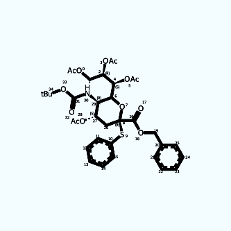 CC(=O)OC[C@@H](OC(C)=O)[C@@H](OC(C)=O)C1O[C@](Sc2ccccc2)(C(=O)OCc2ccccc2)C[C@H](OC(C)=O)[C@H]1NC(=O)OC(C)(C)C